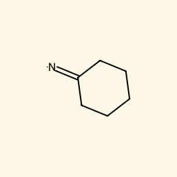 [N]=C1CCCCC1